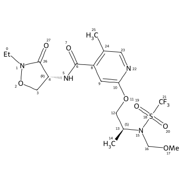 CCN1OC[C@@H](NC(=O)c2cc(OC[C@H](C)N(COC)S(=O)(=O)C(F)(F)F)ncc2C)C1=O